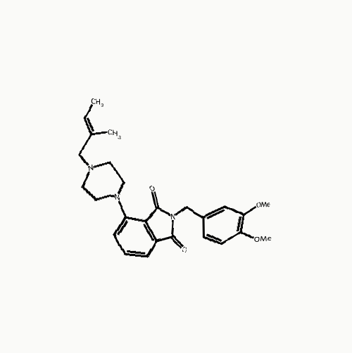 C/C=C(\C)CN1CCN(c2cccc3c2C(=O)N(Cc2ccc(OC)c(OC)c2)C3=O)CC1